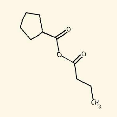 CCCC(=O)OC(=O)C1CCCC1